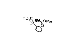 CC1(C(=O)O)OC1c1ccccc1.COC(=O)C(C)C